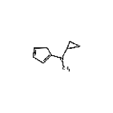 CN(C1=CC=CC1)C1CC1